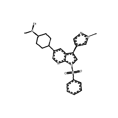 CCN(C)C1CCC(c2cnc3c(c2)c(-c2cnn(C)c2)cn3S(=O)(=O)c2ccccc2)CC1